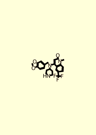 Cn1c(=O)cc(N(Cc2ccc3c(c2)OCO3)C2CCNCC2)c2cc(C(F)(F)F)ccc21